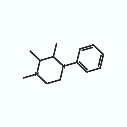 CC1C(C)N(c2ccccc2)CCN1C